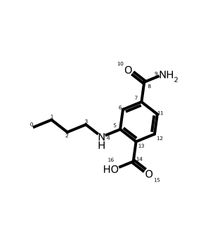 CCCCNc1cc(C(N)=O)ccc1C(=O)O